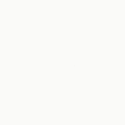 CCCCC(=CC=C(CCCC)C(=O)O)C(=O)O